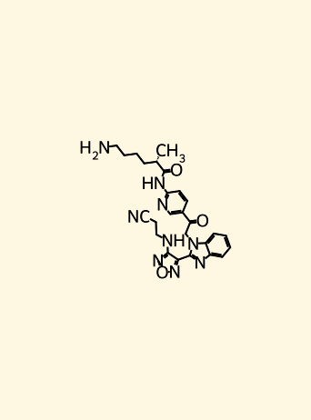 C[C@@H](CCCCN)C(=O)Nc1ccc(C(=O)Cn2c(-c3nonc3NCCC#N)nc3ccccc32)cn1